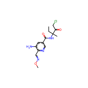 CCC(C)(NC(=O)c1cnc(C=NOC)c(N)c1)C(=O)CCl